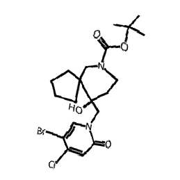 CC(C)(C)OC(=O)N1CCC(O)(Cn2cc(Br)c(Cl)cc2=O)C2(CCCC2)C1